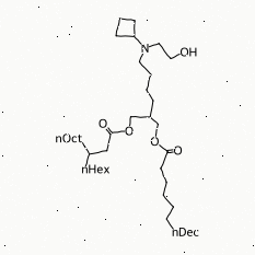 CCCCCCCCCCCCCCCC(=O)OCC(CCCCN(CCO)C1CCC1)COC(=O)CC(CCCCCC)CCCCCCCC